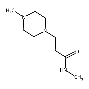 CNC(=O)CCN1CCN(C)CC1